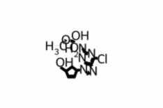 COC(=O)O.Nc1nc(Cl)c2ncn(C3C=CC(CO)C3)c2n1